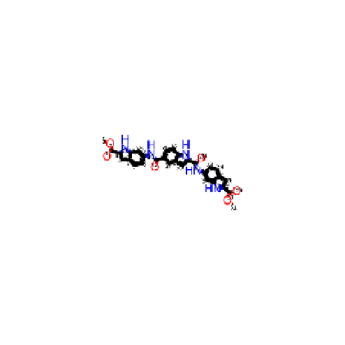 COC(=O)c1cc2ccc(NC(=O)c3ccc4[nH]c(C(=O)Nc5ccc6cc(C(=O)OC)[nH]c6c5)cc4c3)cc2[nH]1